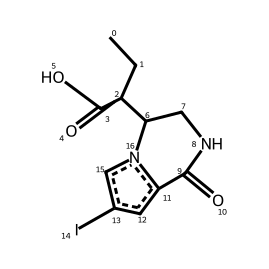 CCC(C(=O)O)C1CNC(=O)c2cc(I)cn21